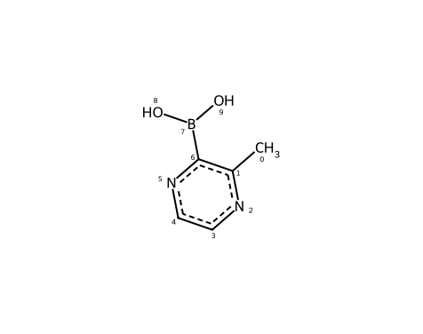 Cc1nccnc1B(O)O